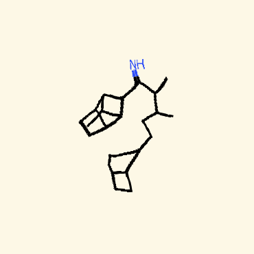 CC(CCC1CC2CCC12)C(C)C(=N)C1C2C(C)C1C1CCC12